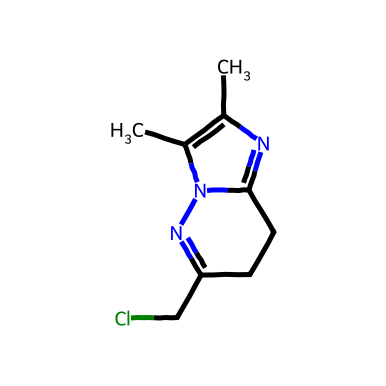 Cc1nc2n(c1C)N=C(CCl)CC2